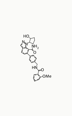 COc1ccccc1C(=O)NCc1ccc(-c2ccc3cnn(C4CCCC4O)c3c2C(N)=O)cc1